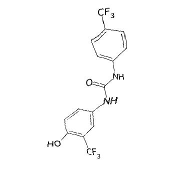 O=C(Nc1ccc(C(F)(F)F)cc1)Nc1ccc(O)c(C(F)(F)F)c1